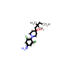 CC(C)(CC(=O)O)CC1(O)CCN(c2c(F)cc(N)cc2F)CC1